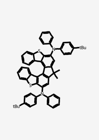 CC(C)(C)c1ccc(N(c2ccccc2)c2cc3c(c4c2sc2ccccc24)-c2c(cc(N(c4ccccc4)c4ccc(C(C)(C)C)cc4)c4sc5ccccc5c24)C3(C)C)cc1